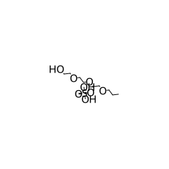 CCCOCCOCCOCCO.O=S(=O)(O)O